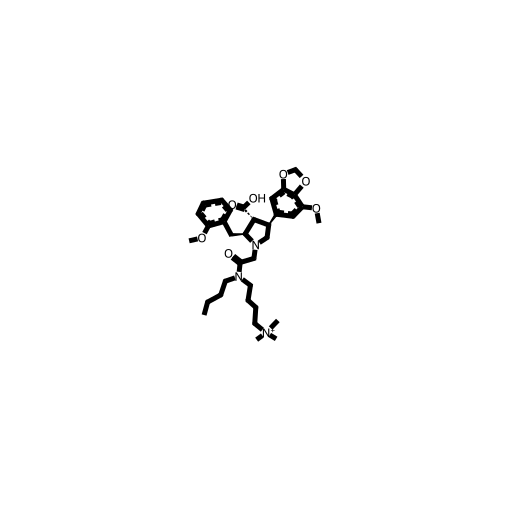 CCCCN(CCCC[N+](C)(C)C)C(=O)CN1C[C@H](c2cc(OC)c3c(c2)OCO3)[C@@H](C(=O)O)[C@@H]1Cc1ccccc1OC